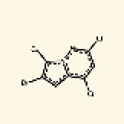 Clc1cc(Cl)c2cc(Br)c(Cl)n2n1